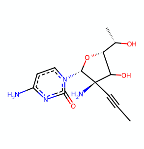 CC#C[C@@]1(N)C(O)[C@@H]([C@H](C)O)O[C@H]1n1ccc(N)nc1=O